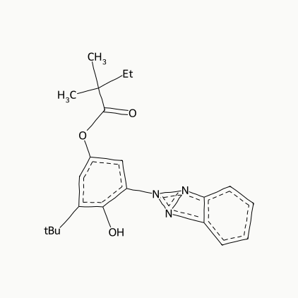 CCC(C)(C)C(=O)Oc1cc(-n2n3c4ccccc4n23)c(O)c(C(C)(C)C)c1